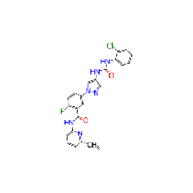 Cc1cccc(NC(=O)c2cc(-n3cc(NC(=O)Nc4ccccc4Cl)cn3)ccc2F)n1